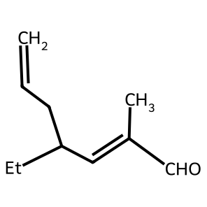 C=CCC(C=C(C)C=O)CC